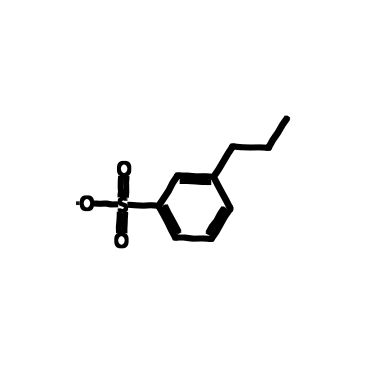 CCCc1cccc(S([O])(=O)=O)c1